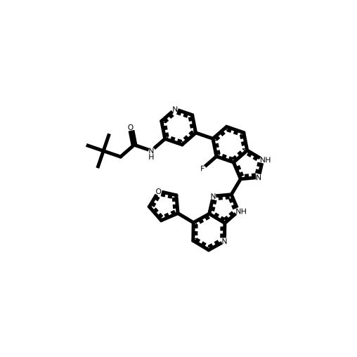 CC(C)(C)CC(=O)Nc1cncc(-c2ccc3[nH]nc(-c4nc5c(-c6ccoc6)ccnc5[nH]4)c3c2F)c1